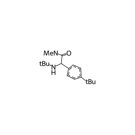 CNC(=O)C(NC(C)(C)C)c1ccc(C(C)(C)C)cc1